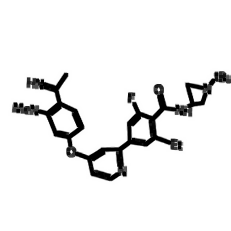 CCc1cc(-c2cc(Oc3ccc(C(C)=N)c(NC)c3)ccn2)cc(F)c1C(=O)NC1CN(C(C)(C)C)C1